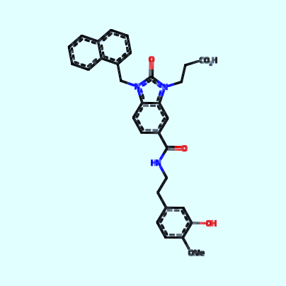 COc1ccc(CCNC(=O)c2ccc3c(c2)n(CCC(=O)O)c(=O)n3Cc2cccc3ccccc23)cc1O